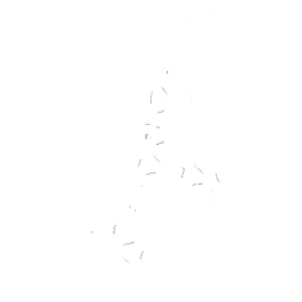 CO[C@H]1CC[C@@H](CNc2ccc(S(=O)(=O)NC(=O)c3ccc(N4CCN(CC5=C(c6ccc(Cl)cc6)CC(C)(C)CC5)CC4)cc3Oc3ccc4[nH]ccc4c3)cc2C)CC1